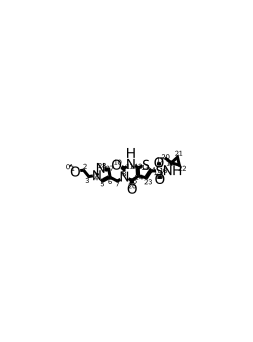 COCCn1cc(Cn2c(=O)[nH]c3sc(S(=O)(=O)NC4(C)CC4)cc3c2=O)cn1